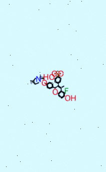 CC1=C(c2ccc(S(C)(=O)=O)c(O)c2)C(c2ccc(OC[C@H](C)N3CC[C@@H](C)C3)cc2)Oc2ccc(O)c(F)c21